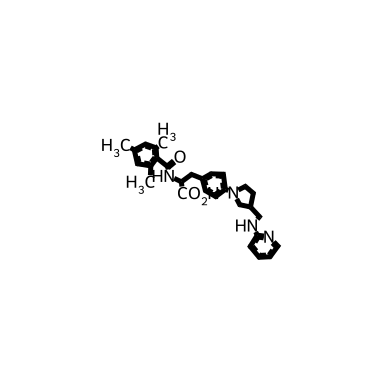 Cc1cc(C)c(C(=O)NC(Cc2ccc(N3CCC(CNc4ccccn4)C3)cc2)C(=O)O)c(C)c1